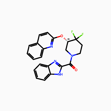 O=C(c1nc2ccccc2[nH]1)N1CCC(F)(F)[C@@H](Oc2ccc3ccccc3n2)C1